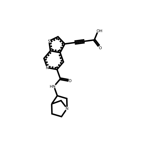 O=C(O)C#Cc1csc2cnc(C(=O)NC3CN4CCC3C4)cc12